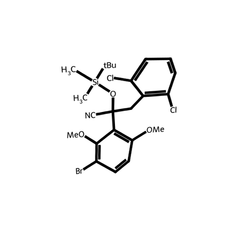 COc1ccc(Br)c(OC)c1C(C#N)(Cc1c(Cl)cccc1Cl)O[Si](C)(C)C(C)(C)C